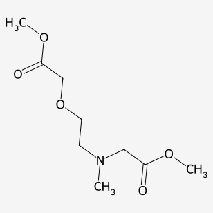 COC(=O)COCCN(C)CC(=O)OC